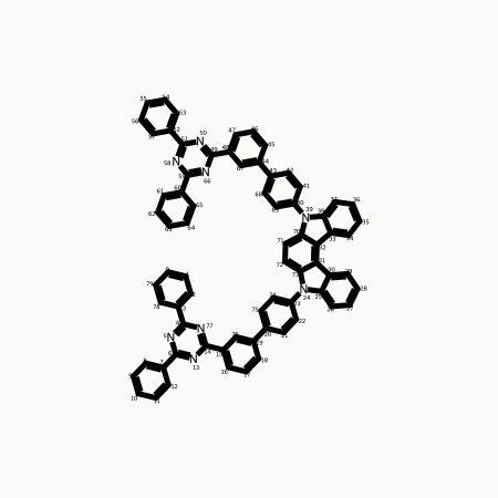 c1ccc(-c2nc(-c3ccccc3)nc(-c3cccc(-c4ccc(-n5c6ccccc6c6c7c8ccccc8n(-c8ccc(-c9cccc(-c%10nc(-c%11ccccc%11)nc(-c%11ccccc%11)n%10)c9)cc8)c7ccc65)cc4)c3)n2)cc1